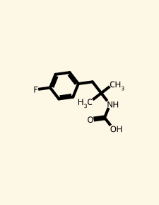 CC(C)(Cc1ccc(F)cc1)NC(=O)O